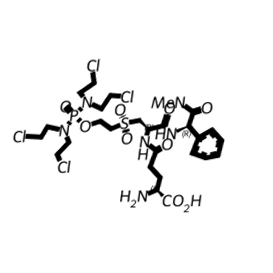 CNC(=O)[C@H](NC(=O)[C@H](CS(=O)(=O)CCOP(=O)(N(CCCl)CCCl)N(CCCl)CCCl)NC(=O)CC[C@H](N)C(=O)O)c1ccccc1